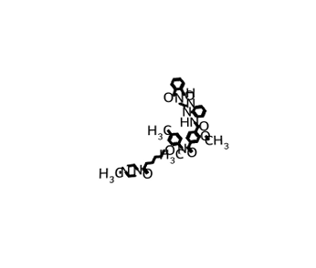 COc1cc(C(=O)N(C)c2ccc(C)cc2OCCCCCC(=O)N2CCN(C)CC2)ccc1C(=O)Nc1cccc2[nH]c(CN3C(=O)c4ccccc4C3=O)nc12